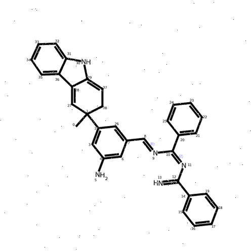 CC1(c2cc(N)cc(/C=N/C(=N\C(=N)c3ccccc3)c3ccccc3)c2)C=c2c([nH]c3ccccc23)=CC1